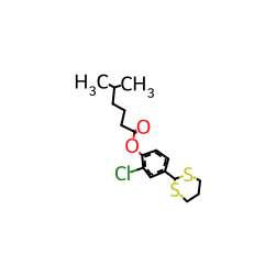 CC(C)CCCC(=O)Oc1ccc(C2SCCCS2)cc1Cl